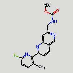 Cc1ccc(F)nc1-c1ccc2cnc(CNC(=O)OC(C)(C)C)cc2n1